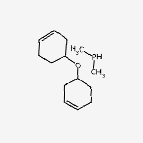 C1=CCC(OC2CC=CCC2)CC1.CPC